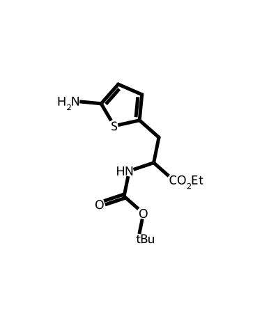 CCOC(=O)C(Cc1ccc(N)s1)NC(=O)OC(C)(C)C